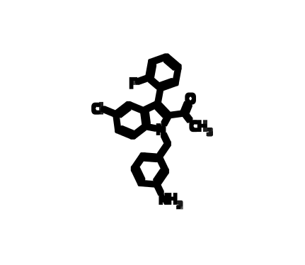 CC(=O)c1c(-c2ccccc2F)c2cc(Cl)ccc2n1Cc1cccc(N)c1